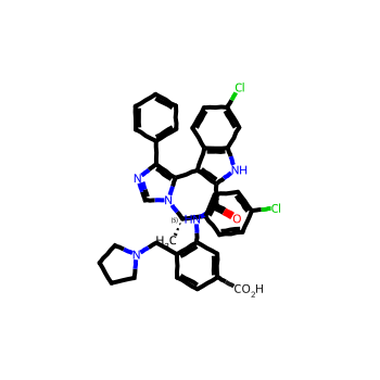 C[C@@H](c1ccc(Cl)cc1)n1cnc(-c2ccccc2)c1-c1c(C(=O)Nc2cc(C(=O)O)ccc2CN2CCCC2)[nH]c2cc(Cl)ccc12